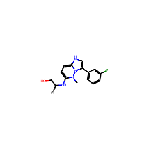 CCC(CO)NC1=CC=C2NC=C(c3cccc(F)c3)N2N1C